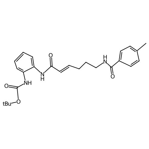 Cc1ccc(C(=O)NCCC/C=C/C(=O)Nc2ccccc2NC(=O)OC(C)(C)C)cc1